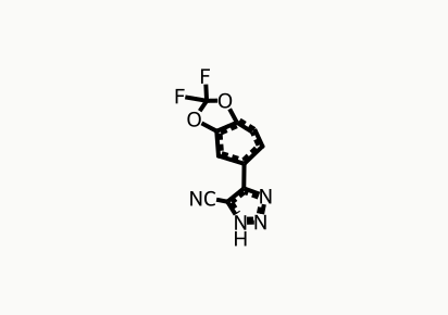 N#Cc1[nH]nnc1-c1ccc2c(c1)OC(F)(F)O2